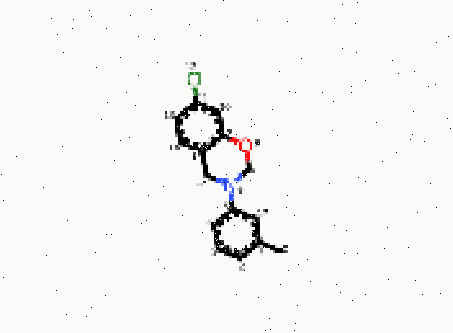 Cc1cccc(N2COc3cc(Cl)ccc3C2)c1